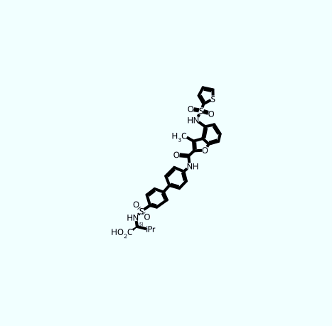 Cc1c(C(=O)Nc2ccc(-c3ccc(S(=O)(=O)N[C@H](C(=O)O)C(C)C)cc3)cc2)oc2cccc(NS(=O)(=O)c3cccs3)c12